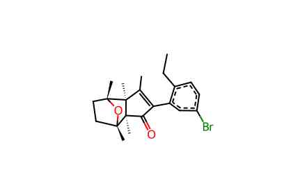 CCc1ccc(Br)cc1C1=C(C)[C@@]2(C)[C@@](C)(C1=O)[C@]1(C)CC[C@@]2(C)O1